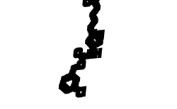 CC(=O)CCCCn1cc(NC(=O)OCc2cccc(Cl)c2)cn1